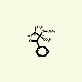 COO[C@](C(=O)O)(C(=O)c1ccccc1)[C@@H](O)C(=O)O